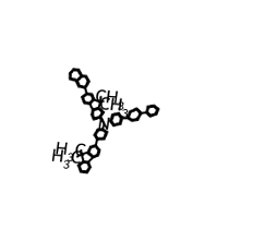 CC1(C)c2ccccc2-c2ccc(-c3ccc(N(c4ccc(-c5ccc(-c6ccccc6)cc5)cc4)c4ccc5c(c4)C(C)(C)c4cc(-c6ccc7ccccc7c6)ccc4-5)cc3)cc21